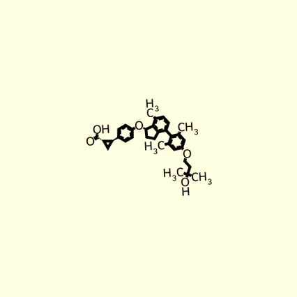 Cc1cc(OCCC(C)(C)O)cc(C)c1-c1ccc(C)c2c1CC[C@H]2Oc1ccc([C@H]2C[C@@H]2C(=O)O)cc1